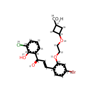 O=C(/C=C/c1ccc(Br)cc1OCCOC1CC(C(=O)O)C1)c1cccc(Cl)c1O